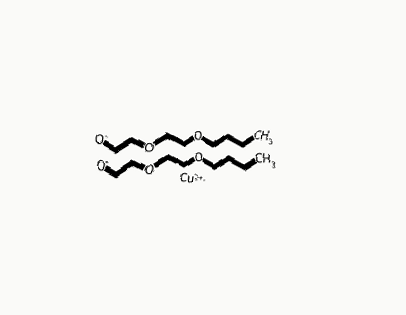 CCCCOCCOCC[O-].CCCCOCCOCC[O-].[Cu+2]